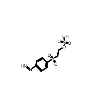 N=Nc1ccc(S(=O)(=O)CCOS(=O)(=O)O)cc1